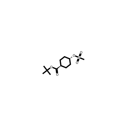 CC(C)(C)OC(=O)[C@H]1CC[C@H](OS(C)(=O)=O)CC1